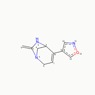 C=C1NC2CN1CC=C2c1cnoc1